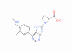 CNCc1ccc(-c2ncnc3nc(N4CCC(C(=O)O)C4)[nH]c23)cc1C